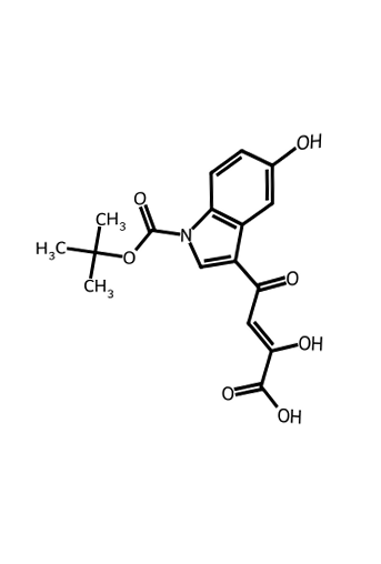 CC(C)(C)OC(=O)n1cc(C(=O)C=C(O)C(=O)O)c2cc(O)ccc21